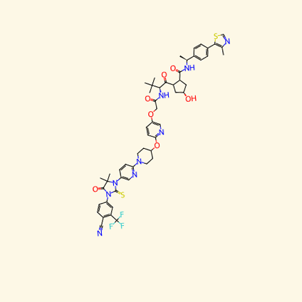 Cc1ncsc1-c1ccc([C@H](C)NC(=O)C2C[C@@H](O)CC2C(=O)[C@@H](NC(=O)COc2ccc(OC3CCN(c4ccc(N5C(=S)N(c6ccc(C#N)c(C(F)(F)F)c6)C(=O)C5(C)C)cn4)CC3)nc2)C(C)(C)C)cc1